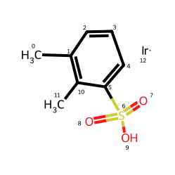 Cc1cccc(S(=O)(=O)O)c1C.[Ir]